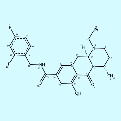 CC(C)CN1CC[C@H](C)N2C(=O)C3=C(O)CC(C(=O)NCc4ccc(F)cc4F)=CN3C[C@@H]12